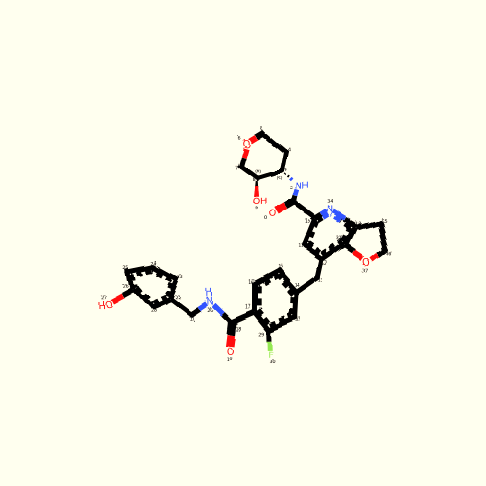 O=C(N[C@H]1CCOC[C@@H]1O)c1cc(Cc2ccc(C(=O)NCc3cccc(O)c3)c(F)c2)c2c(n1)CCO2